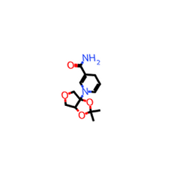 CC1(C)OC2COCC2(N2C=CCC(C(N)=O)=C2)O1